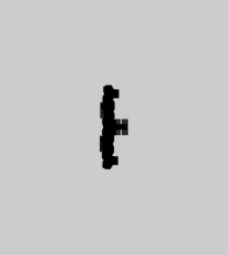 CC(C)CC=NCCNCCN=CCC(C)C